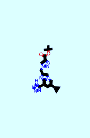 CC(C)(C)OC(=O)c1cn(Cc2cn3cc(C4CC4)cc(-c4nnn[nH]4)c3n2)nn1